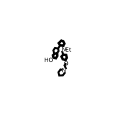 CCN(Cc1ccc(OCCN2CCCCC2)cc1)c1ccccc1C1CCc2cc(O)ccc2C1